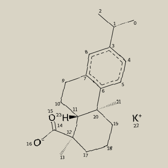 CC(C)c1ccc2c(c1)CC[C@H]1[C@](C)(C(=O)[O-])CCC[C@]21C.[K+]